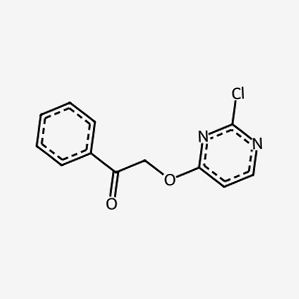 O=C(COc1ccnc(Cl)n1)c1ccccc1